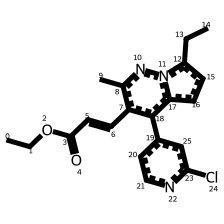 CCOC(=O)/C=C/c1c(C)nn2c(CC)ccc2c1-c1ccnc(Cl)c1